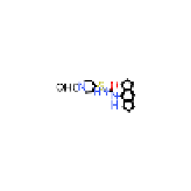 O=CN1CCC(SNC(=O)Nc2c3c(cc4c2CCC4)CCC3)CC1